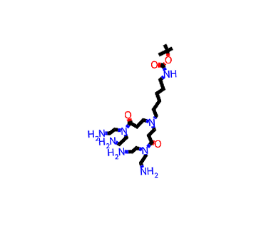 CC(C)(C)OC(=O)NCCCCCCN(CCC(=O)N(CCN)CCN)CCC(=O)N(CCN)CCN